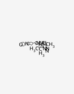 Cc1c(-c2[nH]c3ccc(C4CC5CN(C6CCOCC6)CC5C4)cc3c2C(C)C)cn2cnnc2c1C